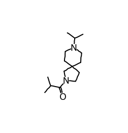 CC(C)C(=O)N1CCC2(CCN(C(C)C)CC2)C1